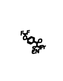 CC(C)C(SC#N)C(=O)c1ccc(OC(F)F)cc1